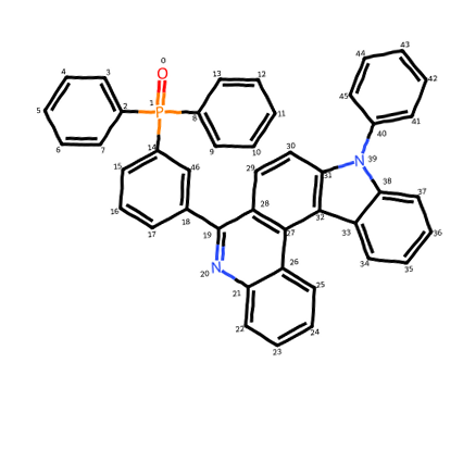 O=P(c1ccccc1)(c1ccccc1)c1cccc(-c2nc3ccccc3c3c2ccc2c3c3ccccc3n2-c2ccccc2)c1